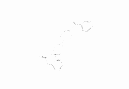 O=C1Nc2ccccc2C2(CCN(C3CCN(C(=O)c4ccccc4)CC3)CC2)O1